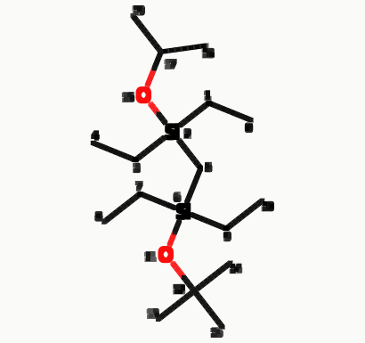 CC[Si](CC)(C[Si](CC)(CC)OC(C)(C)C)OC(C)C